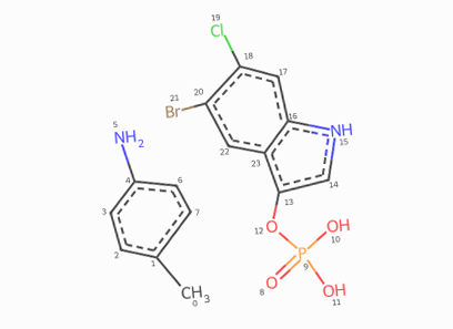 Cc1ccc(N)cc1.O=P(O)(O)Oc1c[nH]c2cc(Cl)c(Br)cc12